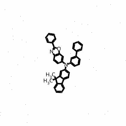 CC1(C)c2ccccc2-c2ccc(N(c3cccc(-c4ccccc4)c3)c3ccc4nc(-c5ccccc5)oc4c3)cc21